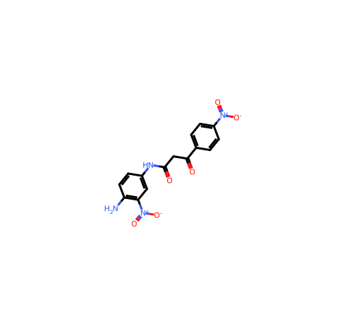 Nc1ccc(NC(=O)CC(=O)c2ccc([N+](=O)[O-])cc2)cc1[N+](=O)[O-]